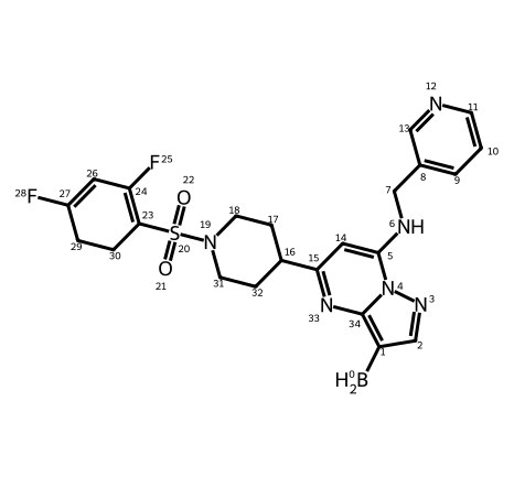 Bc1cnn2c(NCc3cccnc3)cc(C3CCN(S(=O)(=O)C4=C(F)C=C(F)CC4)CC3)nc12